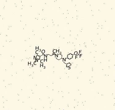 Cc1nn(C)c(C)c1C(=O)NCC[C@@H](C)N1CCC(N(Cc2ccsc2)c2ccc(OC(F)(F)F)cc2)CC1